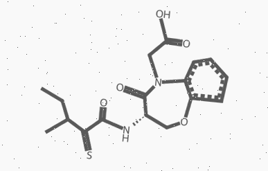 CCC(C)C(=S)C(=O)N[C@H]1COc2ccccc2N(CC(=O)O)C1=O